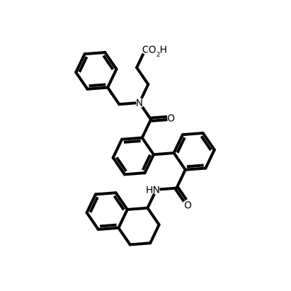 O=C(O)CCN(Cc1ccccc1)C(=O)c1ccccc1-c1ccccc1C(=O)NC1CCCc2ccccc21